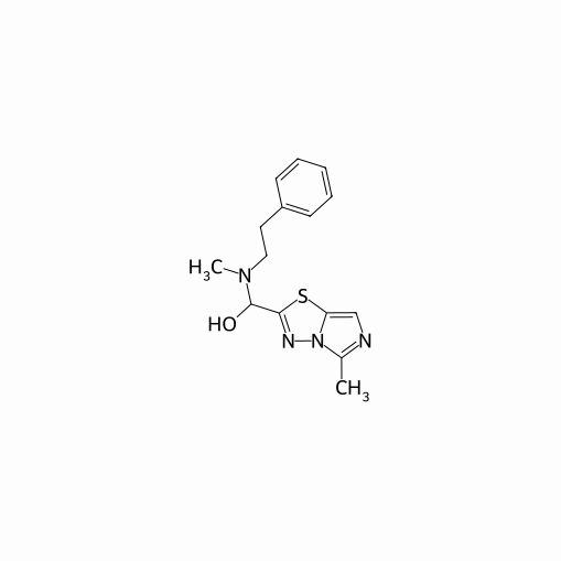 Cc1ncc2sc(C(O)N(C)CCc3ccccc3)nn12